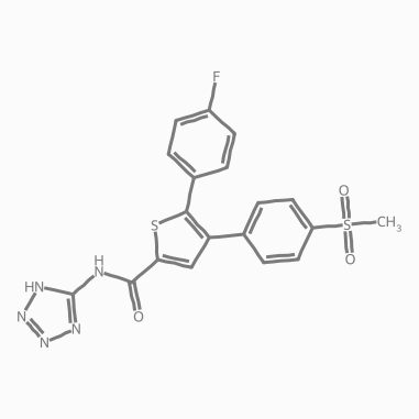 CS(=O)(=O)c1ccc(-c2cc(C(=O)Nc3nnn[nH]3)sc2-c2ccc(F)cc2)cc1